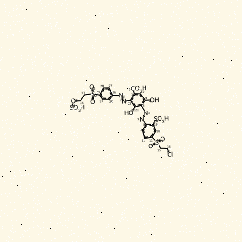 O=C(O)c1cc(O)c(N=Nc2ccc(S(=O)(=O)CCCl)cc2S(=O)(=O)O)c(O)c1N=Nc1ccc(S(=O)(=O)CCOS(=O)(=O)O)cc1